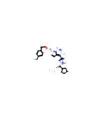 CC(C)Cc1ccc([C@H](C)C(=O)OCn2ccc3c(-c4cnn([C@H](CC#N)C5CCCC5)c4)ncnc32)cc1